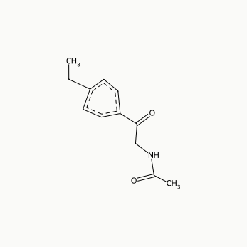 CCc1ccc(C(=O)CNC(C)=O)cc1